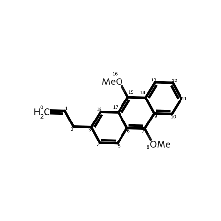 C=CCc1ccc2c(OC)c3ccccc3c(OC)c2c1